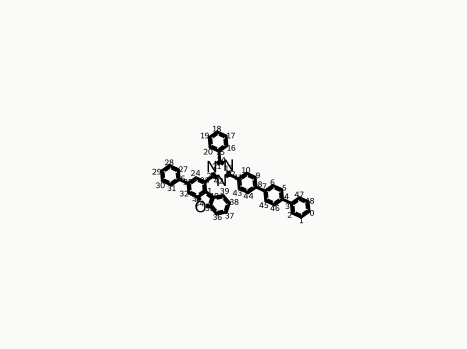 c1ccc(-c2ccc(-c3ccc(-c4nc(-c5ccccc5)nc(-c5cc(-c6ccccc6)cc6oc7ccccc7c56)n4)cc3)cc2)cc1